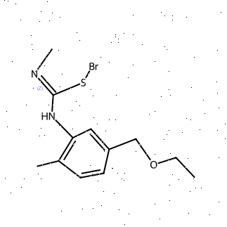 CCOCc1ccc(C)c(N/C(=N/C)SBr)c1